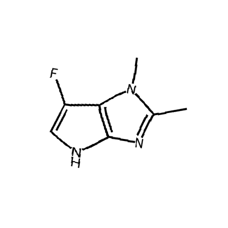 Cc1nc2[nH]cc(F)c2n1C